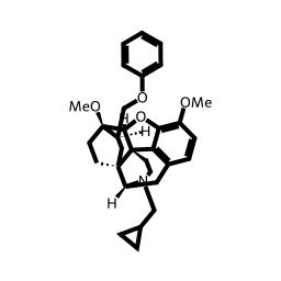 COc1ccc2c3c1O[C@H]1[C@@]4(OC)CC[C@@]5(C[C@@H]4COc4ccccc4)[C@@H](C2)N(CC2CC2)CC[C@]315